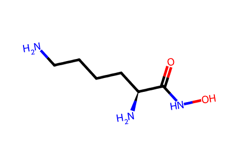 NCCCC[C@H](N)C(=O)NO